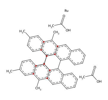 CC(=O)O.CC(=O)O.Cc1ccc(P(c2ccc(C)cc2)c2ccc3ccccc3c2-c2c(P(c3ccc(C)cc3)c3ccc(C)cc3)ccc3ccccc23)cc1.[Ru]